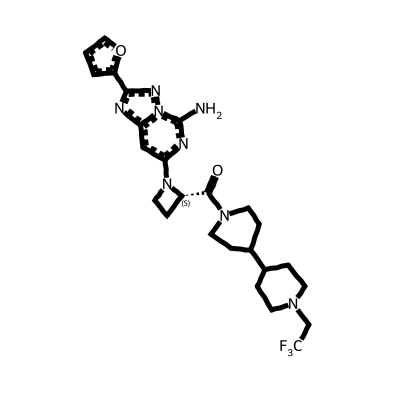 Nc1nc(N2CC[C@H]2C(=O)N2CCC(C3CCN(CC(F)(F)F)CC3)CC2)cc2nc(-c3ccco3)nn12